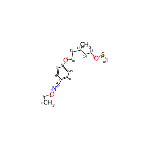 CCO/N=C/c1ccc(OCCC(C)CCOSI)cc1